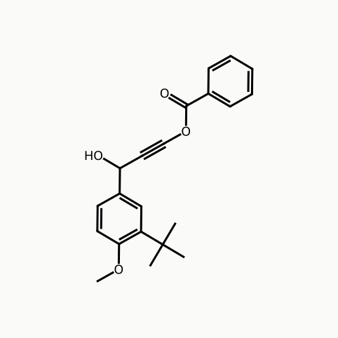 COc1ccc(C(O)C#COC(=O)c2ccccc2)cc1C(C)(C)C